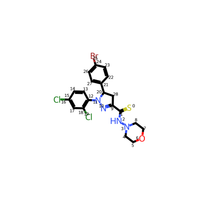 S=C(NN1CCOCC1)C1=NN(c2ccc(Cl)cc2Cl)C(c2ccc(Br)cc2)C1